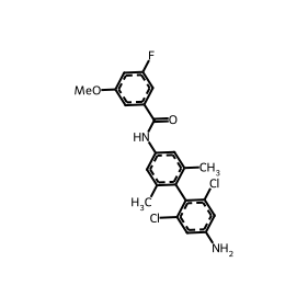 COc1cc(F)cc(C(=O)Nc2cc(C)c(-c3c(Cl)cc(N)cc3Cl)c(C)c2)c1